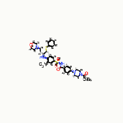 CC(C)COC(=O)N1CCN(c2ccc(C(=O)NS(=O)(=O)c3ccc(N[C@H](CCN4CCOCC4)CSc4ccccc4)c([N+](=O)[O-])c3)cc2)CC1